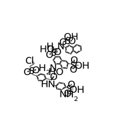 Nc1cc(NC(=O)c2ccc(CS(=O)(=O)CCCl)cc2)ccc1S(=O)(=O)O.Nc1cc(S(=O)(=O)O)cc2cc(S(=O)(=O)O)cc(O)c12.Nc1ccc2ccccc2c1S(=O)(=O)O